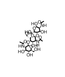 CC(=O)N[C@@H]1[C@@H](O[C@H]2[C@@H](O)[C@H](NC(C)=O)[C@@H](O[C@H]3[C@@H](O)[C@H](NC(C)=O)[C@@H](O)O[C@H]3CO)O[C@H]2CO)O[C@@H](CO)[C@H](O)[C@H]1O